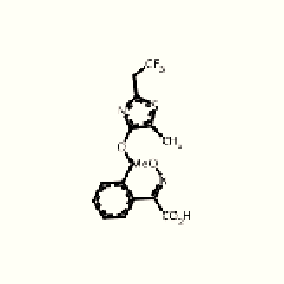 CO/N=C(/C(=O)O)c1ccccc1COc1nc(CC(F)(F)F)sc1C